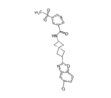 CS(=O)(=O)c1cncc(C(=O)NC2CC3(C2)CC(c2nc4cc(Cl)ccc4o2)C3)c1